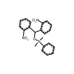 C[Si](C)(OC(c1ccccc1[N+](=O)[O-])c1ccccc1[N+](=O)[O-])c1ccccc1